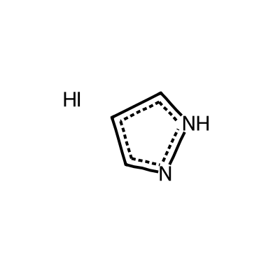 I.c1cn[nH]c1